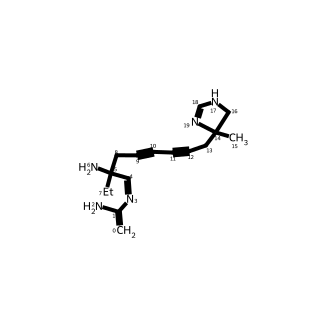 C=C(N)/N=C\C(N)(CC)CC#CC#CCC1(C)CNC=N1